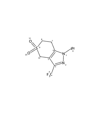 CC(C)n1nc(C(F)(F)F)c2c1CCS(=O)(=O)C2